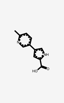 Cc1ccc(-c2c[nH]c(C(=O)O)c2)cn1